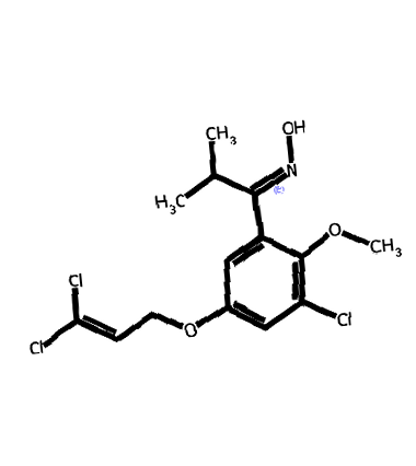 COc1c(Cl)cc(OCC=C(Cl)Cl)cc1/C(=N/O)C(C)C